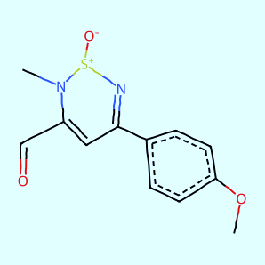 COc1ccc(C2=N[S+]([O-])N(C)C(C=O)=C2)cc1